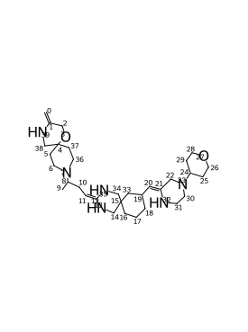 C=C1COC2(CCN(C(C)CC=C3NCC4(CCCC(/C=C5/CN(C6CCOCC6)CCN5)C4)CN3)CC2)CN1